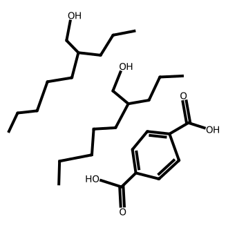 CCCCCC(CO)CCC.CCCCCC(CO)CCC.O=C(O)c1ccc(C(=O)O)cc1